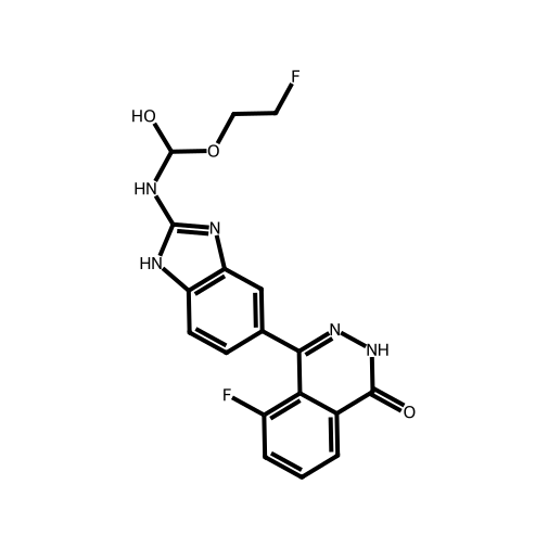 O=c1[nH]nc(-c2ccc3[nH]c(NC(O)OCCF)nc3c2)c2c(F)cccc12